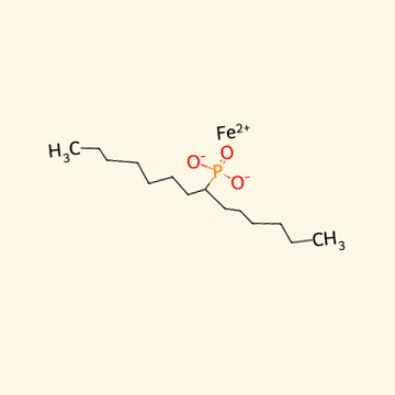 CCCCCCCC(CCCCCC)P(=O)([O-])[O-].[Fe+2]